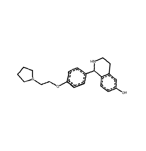 Oc1ccc2c(c1)CCNC2c1ccc(OCCN2CCCC2)cc1